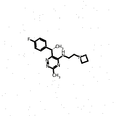 Cc1nnc([C@@H](C)c2ccc(F)cc2)c(NCCN2CCC2)n1